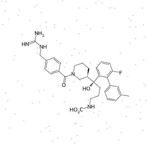 Cc1cccc(-c2c(F)cccc2[C@](O)(CCCNC(=O)O)[C@@H]2CCCN(C(=O)c3ccc(CNC(=N)N)cc3)C2)c1